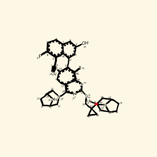 C#Cc1c(F)ccc2cc(O)cc(-c3c(F)cc4c(N5CC6CCC(C5)N6)nc(OCC5(CN6C7CCC6CC(N)C7)CC5)nc4c3F)c12